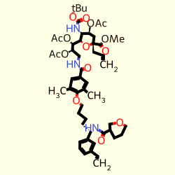 C=CC[C@]1(C(=O)OC)C[C@H](OC(C)=O)[C@@H](NC(=O)OC(C)(C)C)[C@H]([C@H](OC(C)=O)[C@@H](CNC(=O)c2cc(C)c(OCCCC[C@H](NC(=O)C3CCCOC3)c3cccc(C=C)c3)c(C)c2)OC(C)=O)O1